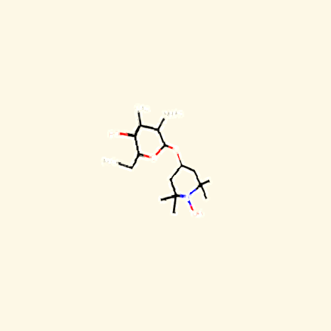 CC(=O)NC1C(OC2CC(C)(C)N(O)C(C)(C)C2)OC(COC(C)=O)C(O)C1OC(C)=O